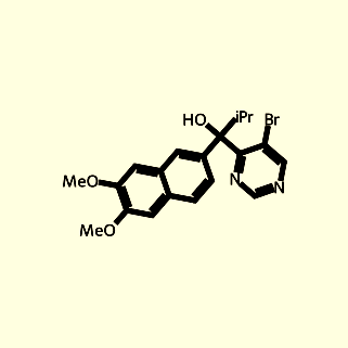 COc1cc2ccc(C(O)(c3ncncc3Br)C(C)C)cc2cc1OC